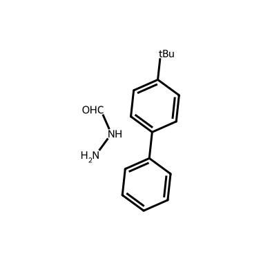 CC(C)(C)c1ccc(-c2ccccc2)cc1.NNC=O